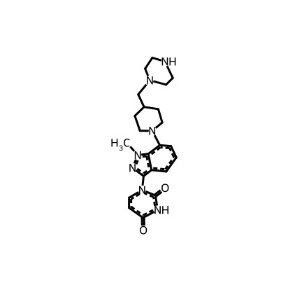 Cn1nc(-n2ccc(=O)[nH]c2=O)c2cccc(N3CCC(CN4CCNCC4)CC3)c21